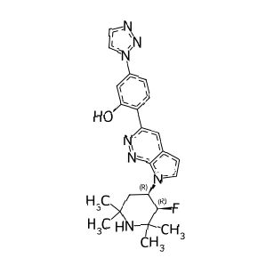 CC1(C)C[C@@H](n2ccc3cc(-c4ccc(-n5ccnn5)cc4O)nnc32)[C@@H](F)C(C)(C)N1